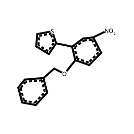 O=[N+]([O-])c1ccc(OCc2ccccc2)c(-c2cccs2)c1